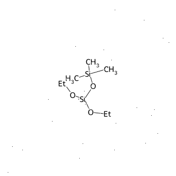 CCO[Si](OCC)O[Si](C)(C)C